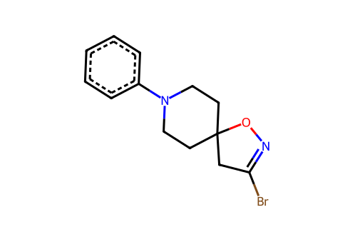 BrC1=NOC2(CCN(c3ccccc3)CC2)C1